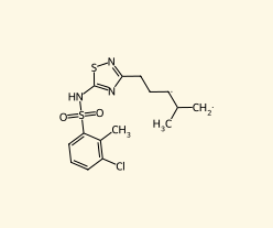 [CH2]C(C)[CH]CCc1nsc(NS(=O)(=O)c2cccc(Cl)c2C)n1